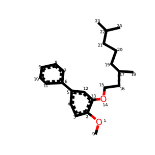 COc1ccc(-c2ccccc2)cc1OCCC(C)CCCC(C)C